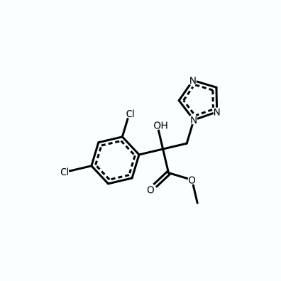 COC(=O)C(O)(Cn1cncn1)c1ccc(Cl)cc1Cl